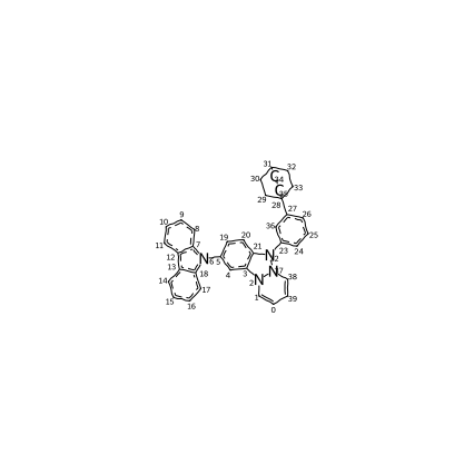 C1=CN2c3cc(-n4c5ccccc5c5ccccc54)ccc3N(c3cccc(C45CCC(CC4)CC5)c3)N2C=C1